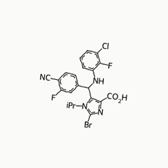 CC(C)n1c(Br)nc(C(=O)O)c1C(Nc1cccc(Cl)c1F)c1ccc(C#N)c(F)c1